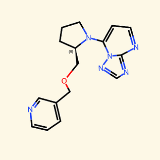 c1cncc(COC[C@H]2CCCN2c2ccnc3ncnn23)c1